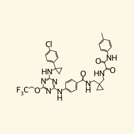 Cc1ccc(NC(=O)C(=O)NCC2(CNC(=O)c3ccc(Nc4nc(NC5(c6ccc(Cl)cc6)CC5)nc(OCC(F)(F)F)n4)cc3)CC2)cc1